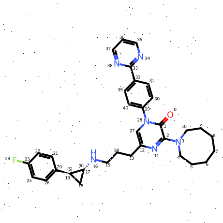 O=c1c(N2CCCCCCC2)nc(CCCN[C@@H]2C[C@H]2c2ccc(F)cc2)cn1-c1ccc(-c2ncccn2)cc1